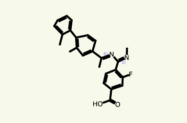 C/N=C(\N=C(/C)c1ccc(-c2ccccc2C)c(C)c1)c1ccc(C(=O)O)cc1F